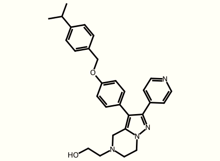 CC(C)c1ccc(COc2ccc(-c3c(-c4ccncc4)nn4c3CN(CCO)CC4)cc2)cc1